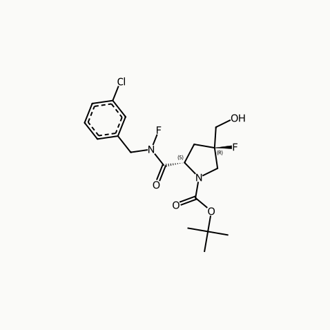 CC(C)(C)OC(=O)N1C[C@@](F)(CO)C[C@H]1C(=O)N(F)Cc1cccc(Cl)c1